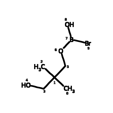 CC(C)(CO)COB(O)Br